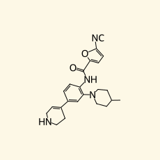 [C-]#[N+]c1ccc(C(=O)Nc2ccc(C3=CCNCC3)cc2N2CCC(C)CC2)o1